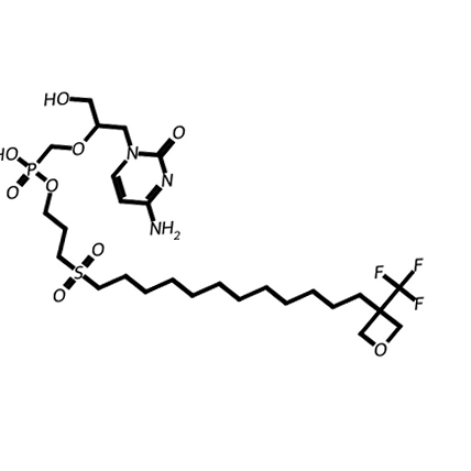 Nc1ccn(CC(CO)OCP(=O)(O)OCCCS(=O)(=O)CCCCCCCCCCCCC2(C(F)(F)F)COC2)c(=O)n1